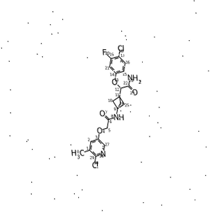 Cc1cc(OCC(=O)NC23CC(C(Oc4ccc(Cl)c(F)c4)C(N)=O)(C2)C3)cnc1Cl